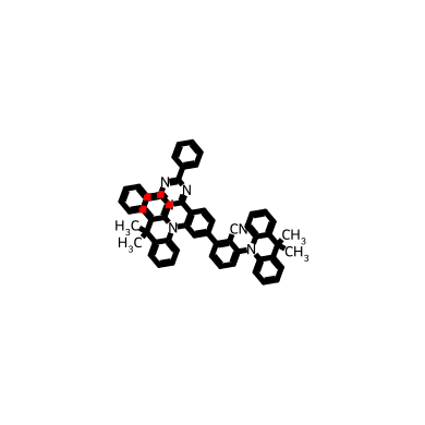 CC1(C)c2ccccc2N(c2cc(-c3cccc(N4c5ccccc5C(C)(C)c5ccccc54)c3C#N)ccc2-c2nc(-c3ccccc3)nc(-c3ccccc3)n2)c2ccccc21